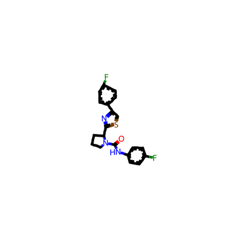 O=C(Nc1ccc(F)cc1)N1CCCC1c1nc(-c2ccc(F)cc2)cs1